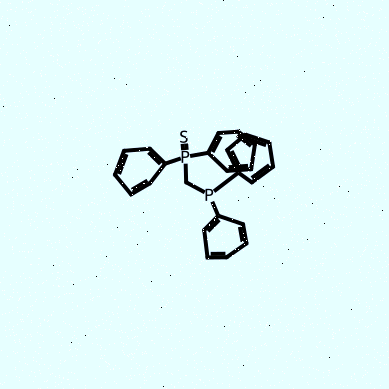 S=P(CP(c1ccccc1)c1ccccc1)(c1ccccc1)c1ccccc1